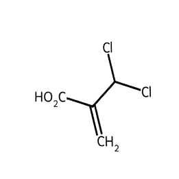 C=C(C(=O)O)C(Cl)Cl